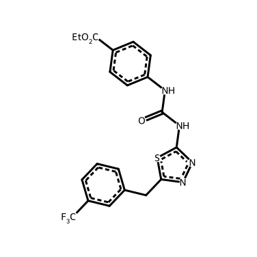 CCOC(=O)c1ccc(NC(=O)Nc2nnc(Cc3cccc(C(F)(F)F)c3)s2)cc1